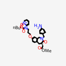 CCCCOC(=O)N(CCCOc1ccc2c(c1)CN(Cc1ccc(N)cc1)C(=O)[C@@H](CC(=O)OC)C2)c1cccc[n+]1[O-]